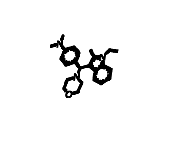 CCn1c(C)c(C(c2ccc(N(C)C)cc2)N2CCOCC2)c2ccccc21